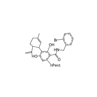 C=C(C)C1CCC(C)=CC1c1c(O)cc(CCCCC)c(C(=O)NCc2ccccc2Br)c1O